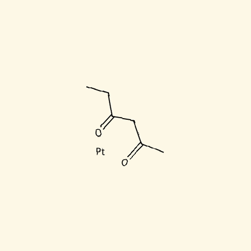 CCC(=O)CC(C)=O.[Pt]